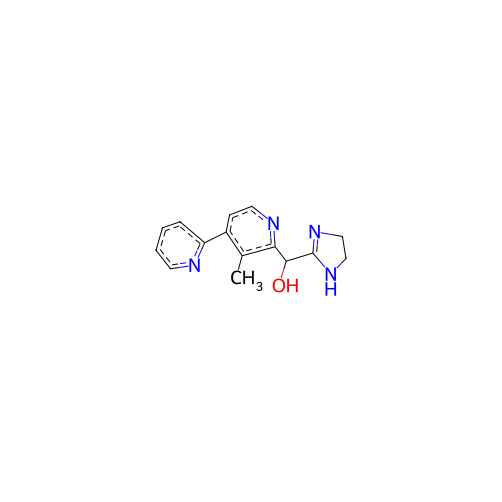 Cc1c(-c2ccccn2)ccnc1C(O)C1=NCCN1